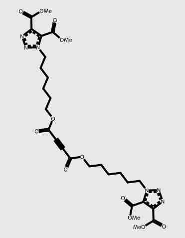 COC(=O)c1nnn(CCCCCCOC(=O)C#CC(=O)OCCCCCCn2nnc(C(=O)OC)c2C(=O)OC)c1C(=O)OC